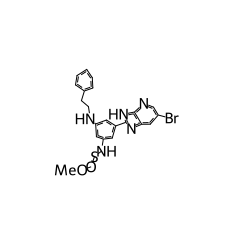 COOSNc1cc(NCCc2ccccc2)cc(-c2nc3cc(Br)cnc3[nH]2)c1